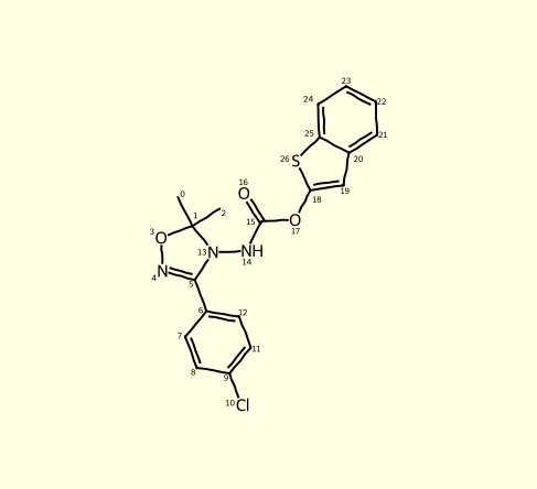 CC1(C)ON=C(c2ccc(Cl)cc2)N1NC(=O)Oc1cc2ccccc2s1